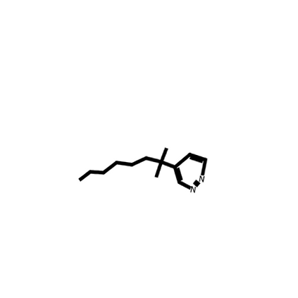 CCCCCCC(C)(C)c1ccnnc1